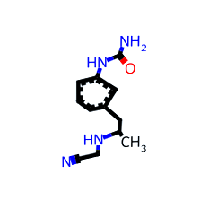 CC(Cc1cccc(NC(N)=O)c1)NCC#N